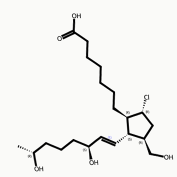 C[C@@H](O)CCC[C@H](O)/C=C/[C@H]1[C@H](CO)C[C@@H](Cl)[C@@H]1CCCCCCC(=O)O